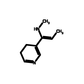 C/C=C(\NC)C1=CN=CCC1